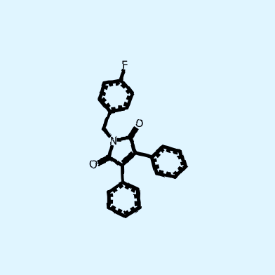 O=C1C(c2ccccc2)=C(c2ccccc2)C(=O)N1Cc1ccc(F)cc1